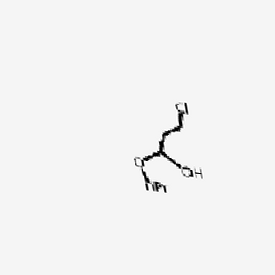 [CH2]CCOC(O)CCCl